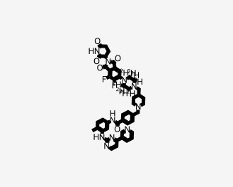 [2H]C1([2H])N(CC2CCN(Cc3ccc(C(=O)Nc4ccc(C)c(Nc5nccc(-c6cccnc6)n5)c4)cc3)CC2)C([2H])([2H])C([2H])([2H])N(c2cc3c(c(F)c2F)C(=O)N(C2CCC(=O)NC2=O)C3=O)C1([2H])[2H]